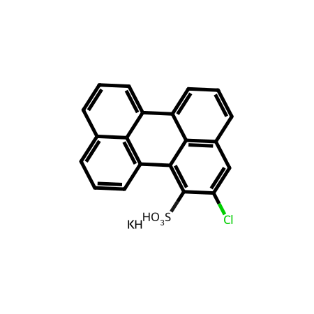 O=S(=O)(O)c1c(Cl)cc2cccc3c4cccc5cccc(c1c23)c54.[KH]